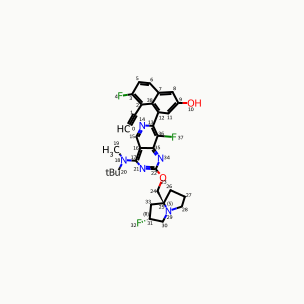 C#Cc1c(F)ccc2cc(O)cc(-c3ncc4c(N(C)C(C)(C)C)nc(OC[C@@]56CCCN5C[C@H](F)C6)nc4c3F)c12